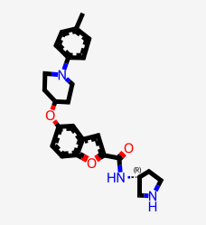 Cc1ccc(N2CCC(Oc3ccc4oc(C(=O)N[C@@H]5CCNC5)cc4c3)CC2)cc1